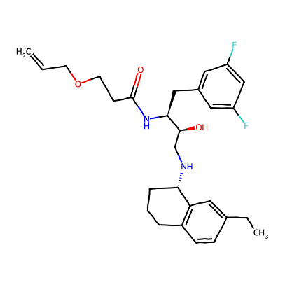 C=CCOCCC(=O)N[C@@H](Cc1cc(F)cc(F)c1)[C@@H](O)CN[C@H]1CCCc2ccc(CC)cc21